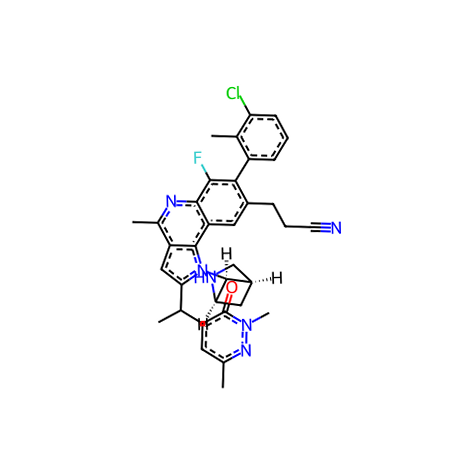 Cc1cc(C(C)c2cc3c(C)nc4c(F)c(-c5cccc(Cl)c5C)c(CCC#N)cc4c3n2[C@H]2[C@H]3CN[C@@H]2C3)c(=O)n(C)n1